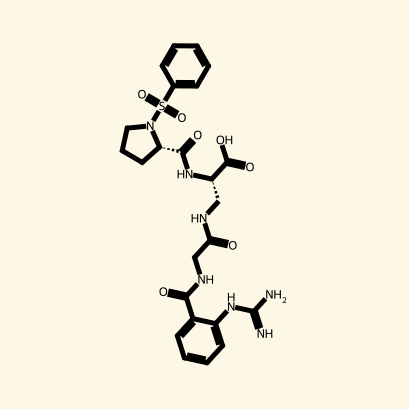 N=C(N)Nc1ccccc1C(=O)NCC(=O)NC[C@H](NC(=O)[C@@H]1CCCN1S(=O)(=O)c1ccccc1)C(=O)O